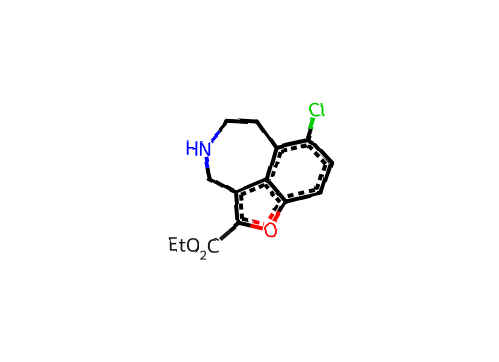 CCOC(=O)c1oc2ccc(Cl)c3c2c1CNCC3